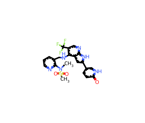 CN(c1ncccc1CNc1c(C(F)(F)F)cnc2[nH]c(-c3ccc(=O)[nH]c3)cc12)S(C)(=O)=O